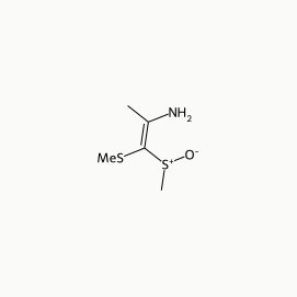 CS/C(=C(\C)N)[S+](C)[O-]